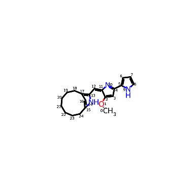 COC1=CC(c2ccc[nH]2)=NC1=Cc1[nH]c2cc1CCCCCCC2